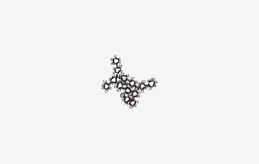 c1ccc(-c2ccc(N(c3ccc(-c4ccccc4)cc3)c3ccc4c(c3)C3(c5cc(N(c6ccc(-c7ccccc7)cc6)c6ccc(-c7ccccc7)cc6)ccc5-4)c4ccccc4-c4c3ccc3c4oc4ccccc43)cc2)cc1